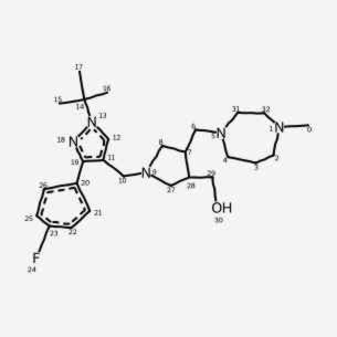 CN1CCCN(CC2CN(Cc3cn(C(C)(C)C)nc3-c3ccc(F)cc3)CC2CO)CC1